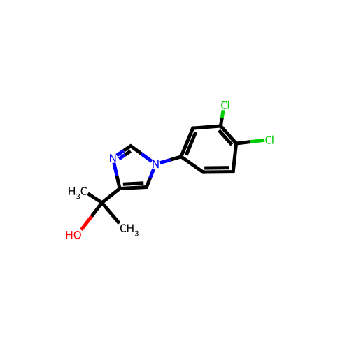 CC(C)(O)c1cn(-c2ccc(Cl)c(Cl)c2)cn1